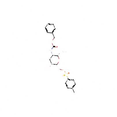 CO[C@H]1O[C@H](COS(=O)(=O)c2ccc(C)cc2)[C@@H](O)[C@H](O)[C@H]1NC(=O)OCc1ccccc1